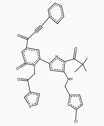 CC(C)(C)C(=O)n1nc(-c2cc(C(=O)C#Cc3ccccc3)cc(=O)n2CC(=O)c2ccsc2)cc1NCc1ccc(Cl)s1